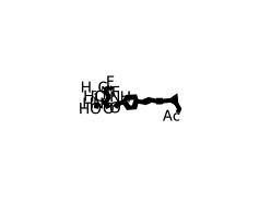 CC(=O)CC1CC1C#CC#Cc1ccc(C(=O)NC(C(=O)NO)[C@](C)(O)C(F)F)cc1